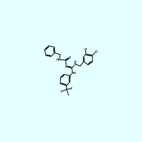 O=C(/N=C(\NCc1ccc(Cl)c(Cl)c1)Nc1cccc(C(F)(F)F)c1)NCc1ccccc1